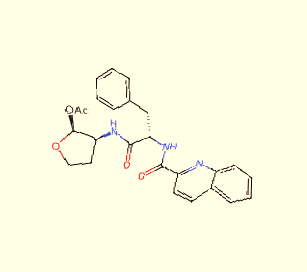 CC(=O)O[C@@H]1OCC[C@@H]1NC(=O)[C@H](Cc1ccccc1)NC(=O)c1ccc2ccccc2n1